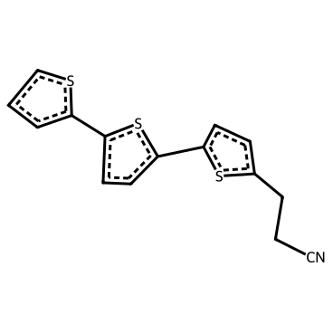 N#CCCc1ccc(-c2ccc(-c3cccs3)s2)s1